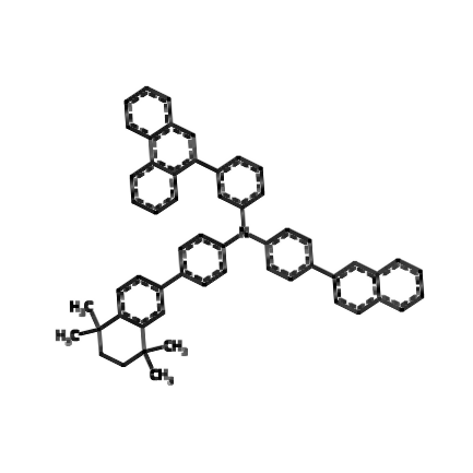 CC1(C)CCC(C)(C)c2cc(-c3ccc(N(c4ccc(-c5ccc6ccccc6c5)cc4)c4cccc(-c5cc6ccccc6c6ccccc56)c4)cc3)ccc21